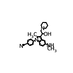 CNc1ccc2c(c1)c(C(O)CN1CCCCC1)c(C)n2-c1ccc(C#N)cc1